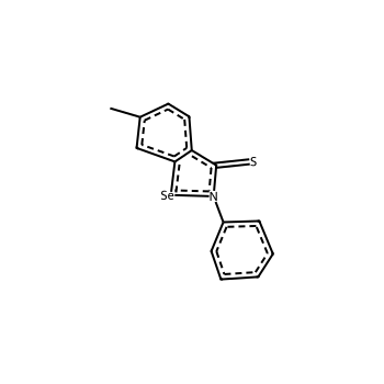 Cc1ccc2c(=S)n(-c3ccccc3)[se]c2c1